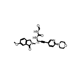 COc1ccc2c(c1)C(=O)N(C[C@@H](C#Cc1ccc(N3CCOCC3)nc1)NC(=O)NC=O)C2